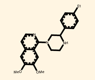 CCc1ccc(C2CN(c3nccc4cc(OC)c(OC)cc34)CCN2)cc1